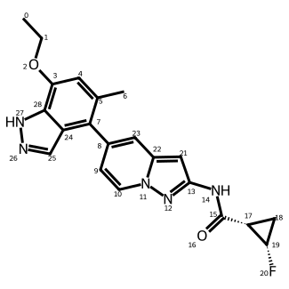 CCOc1cc(C)c(-c2ccn3nc(NC(=O)[C@@H]4C[C@@H]4F)cc3c2)c2cn[nH]c12